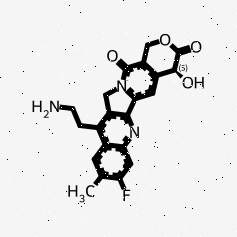 Cc1cc2c(CCN)c3c(nc2cc1F)-c1cc2c(c(=O)n1C3)COC(=O)[C@H]2O